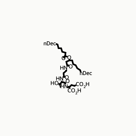 CCCCCCCCCCCCCCCC(=O)OC(CCCCCCCCCCCCCCC)CC(=O)NCCC(=O)N[C@H](C(=O)N[C@@H](CCC(=O)O)C(=O)O)[C@@H](C)O